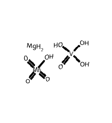 [MgH2].[O]=[Mn](=[O])(=[O])[OH].[O]=[V]([OH])([OH])[OH]